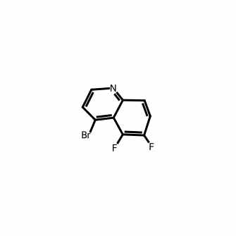 Fc1ccc2nccc(Br)c2c1F